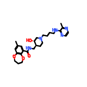 Cc1cc2c(c(C(=O)NC[C@@H]3CCN(CCCCNc4nccnc4C)C[C@H]3O)c1)OCCCO2